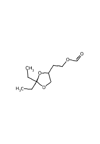 CCC1(CC)OCC(CCOC=O)O1